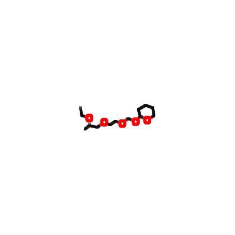 CCOC(C)COCCOCOC1CCCCO1